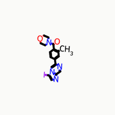 Cc1cc(-c2cn3c(I)cnc3cn2)ccc1C(=O)N1CCOCC1